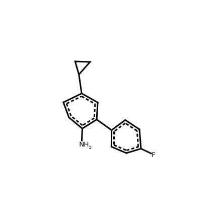 Nc1ccc(C2CC2)cc1-c1ccc(F)cc1